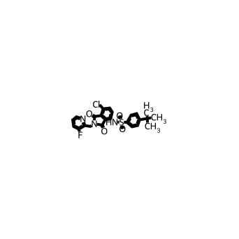 CC(C)(C)c1ccc(S(=O)(=O)Nc2ccc(Cl)c3c2C(=O)N(Cc2ncccc2F)C3=O)cc1